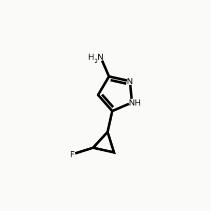 Nc1cc(C2CC2F)[nH]n1